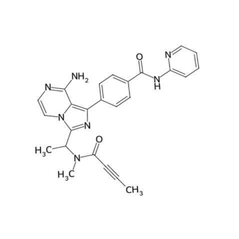 CC#CC(=O)N(C)C(C)c1nc(-c2ccc(C(=O)Nc3ccccn3)cc2)c2c(N)nccn12